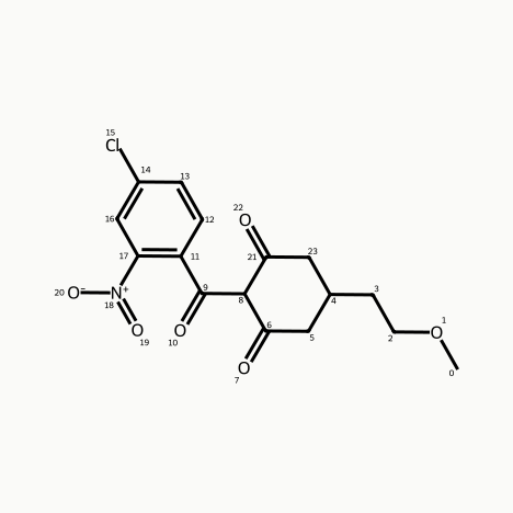 COCCC1CC(=O)C(C(=O)c2ccc(Cl)cc2[N+](=O)[O-])C(=O)C1